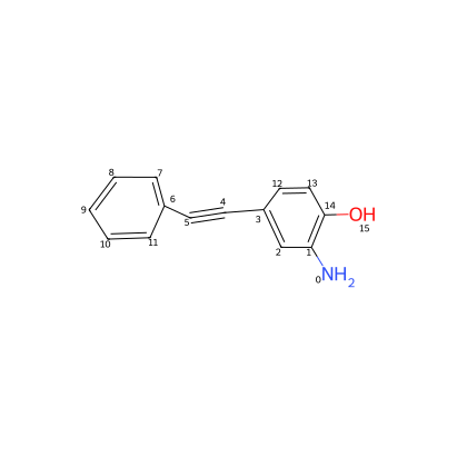 Nc1cc(C#Cc2ccccc2)ccc1O